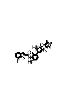 Cc1c(-c2cc(N(C)c3cc(C)n(C)n3)c(=O)[nH]n2)ccc(F)c1NC(=O)c1cc2cccc(F)c2s1